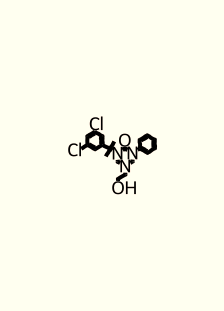 CC(C)(c1cc(Cl)cc(Cl)c1)N1CN(CCO)CN(c2ccccc2)C1=O